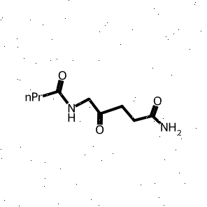 CCCC(=O)NCC(=O)CCC(N)=O